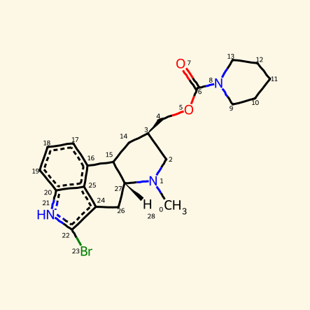 CN1C[C@H](COC(=O)N2CCCCC2)CC2c3cccc4[nH]c(Br)c(c34)C[C@H]21